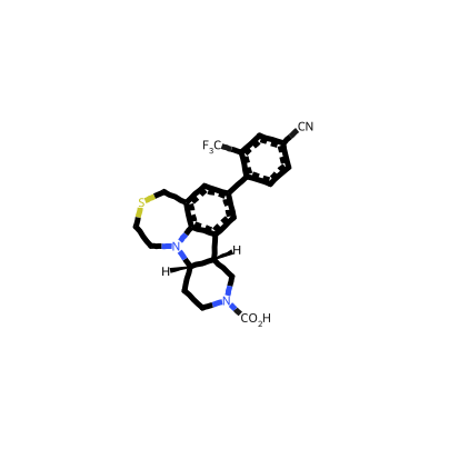 N#Cc1ccc(-c2cc3c4c(c2)[C@@H]2CN(C(=O)O)CC[C@@H]2N4CCSC3)c(C(F)(F)F)c1